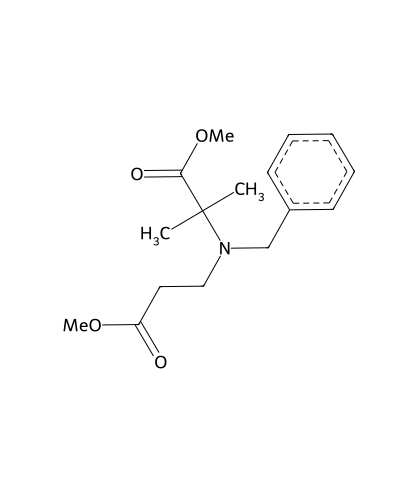 COC(=O)CCN(Cc1ccccc1)C(C)(C)C(=O)OC